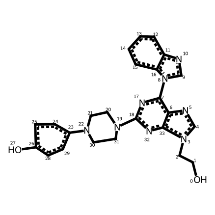 OCCn1cnc2c(-n3cnc4ccccc43)nc(N3CCN(c4ccc(O)cc4)CC3)nc21